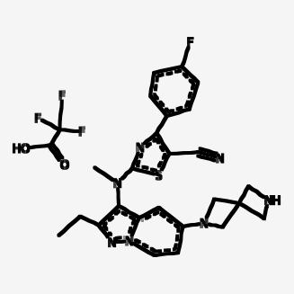 CCc1nn2ccc(N3CC4(CNC4)C3)cc2c1N(C)c1nc(-c2ccc(F)cc2)c(C#N)s1.O=C(O)C(F)(F)F